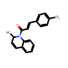 N#CC1C=Cc2ccccc2N1C(=O)C=Cc1ccc(C(F)(F)F)cc1